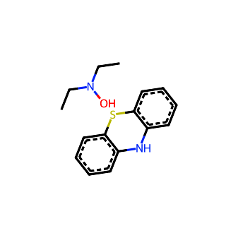 CCN(O)CC.c1ccc2c(c1)Nc1ccccc1S2